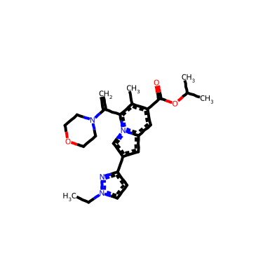 C=C(c1c(C)c(C(=O)OC(C)C)cc2cc(-c3ccn(CC)n3)cn12)N1CCOCC1